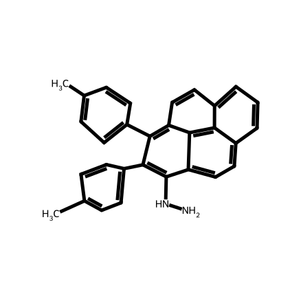 Cc1ccc(-c2c(NN)c3ccc4cccc5ccc(c2-c2ccc(C)cc2)c3c45)cc1